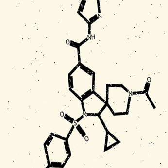 CC(=O)N1CCC2(CC1)c1cc(C(=O)Nc3ccon3)ccc1N(S(=O)(=O)c1ccc(F)cc1)C2C1CC1